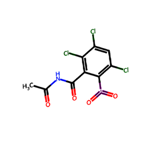 CC(=O)NC(=O)c1c(Cl)c(Cl)cc(Cl)c1I(=O)=O